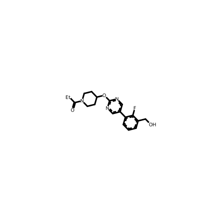 CCC(=O)N1CCC(Oc2ncc(-c3cccc(CO)c3F)cn2)CC1